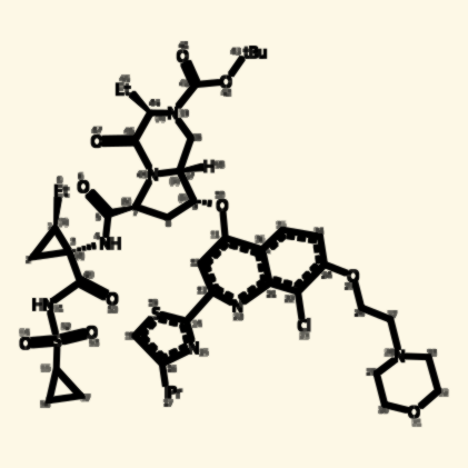 CC[C@@H]1C[C@]1(NC(=O)[C@@H]1C[C@@H](Oc2cc(-c3nc(C(C)C)cs3)nc3c(Cl)c(OCCN4CCOCC4)ccc23)[C@H]2CN(C(=O)OC(C)(C)C)[C@H](CC)C(=O)N21)C(=O)NS(=O)(=O)C1CC1